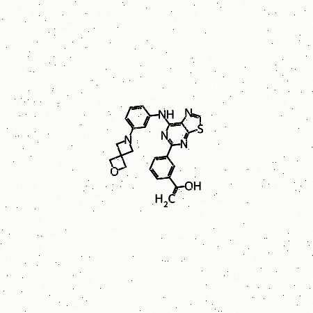 C=C(O)c1cccc(-c2nc(Nc3cccc(N4CC5(COC5)C4)c3)c3ncsc3n2)c1